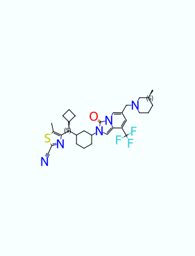 Cc1sc(C#N)nc1[C@@H](C1CCC1)C1CCCC(n2cc3c(C(F)(F)F)cc(CN4CCC[C@H](C)C4)cn3c2=O)C1